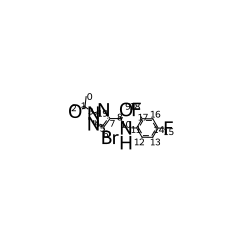 CC(=O)n1nc(Br)c(C(=O)Nc2ccc(F)cc2F)n1